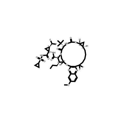 CCC[C@@H]1[C@@H]2CN(C(=O)[C@H](C(C)(C)C)NC(=O)O[C@@H]3C[C@H]3CCCCC(F)(F)c3nc4ccc(OC)cc4nc3O2)[C@@H]1C(=O)N[C@]1(C(=O)NS(=O)(=O)C2CC2)C[C@H]1C(F)F